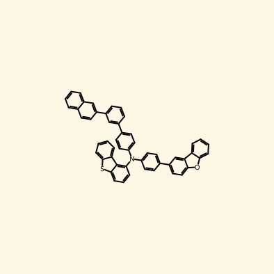 c1cc(-c2ccc(N(c3ccc(-c4ccc5oc6ccccc6c5c4)cc3)c3cccc4sc5ccccc5c34)cc2)cc(-c2ccc3ccccc3c2)c1